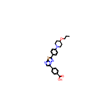 CCCOC1CCN(c2ccc(-c3nn4c(-c5ccc(C(=O)O)cc5)cnc4s3)cc2)CC1